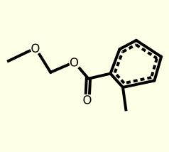 COCOC(=O)c1ccccc1C